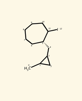 CC1CC1C[C@@H]1CCCCCC1I